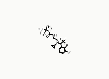 CC(C)(C)OC(=O)NCCN(C1CC1)C(c1cccc(Br)c1F)C(F)(F)F